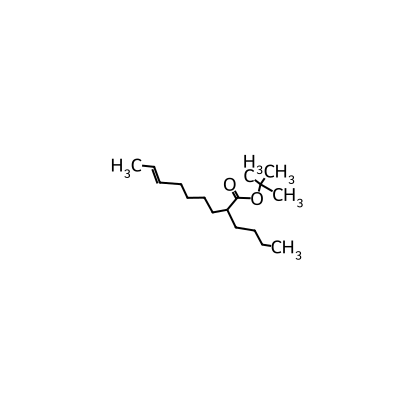 CC=CCCCCC(CCCC)C(=O)OC(C)(C)C